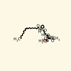 CCCCCCCC/C=C\CCCCCCCC(=O)NC1CCCCC1NC(=O)CCNC(=O)[C@H](OC(C)=O)C(C)(C)COC(C)=O